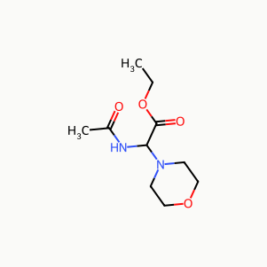 CCOC(=O)C(NC(C)=O)N1CCOCC1